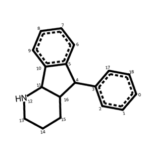 c1ccc(C2c3ccccc3C3NCCCC32)cc1